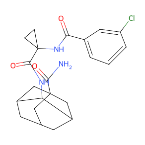 NC(=O)C12CC3CC(C1)C(NC(=O)C1(NC(=O)c4cccc(Cl)c4)CC1)C(C3)C2